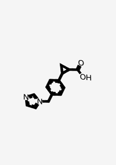 O=C(O)C1CC1c1ccc(Cn2ccnc2)cc1